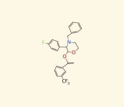 C=C(OC1OCCN(Cc2ccccc2)C1c1ccc(F)cc1)c1cccc(C(F)(F)F)c1